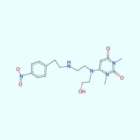 Cn1c(N(CCO)CCNCCc2ccc([N+](=O)[O-])cc2)cc(=O)n(C)c1=O